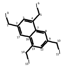 ICc1cc(CI)c2cc(CI)cc(CI)c2c1